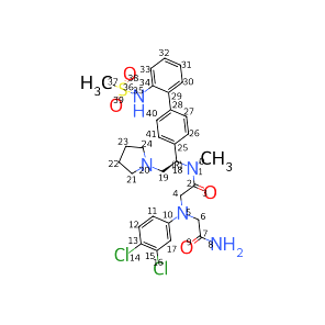 CN(C(=O)CN(CC(N)=O)c1ccc(Cl)c(Cl)c1)[C@@H](CN1CCCC1)c1ccc(-c2ccccc2NS(C)(=O)=O)cc1